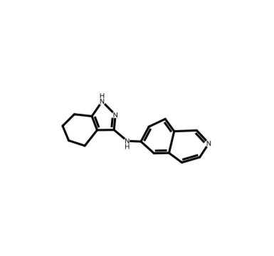 c1cc2cc(Nc3n[nH]c4c3CCCC4)ccc2cn1